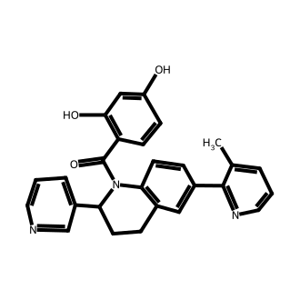 Cc1cccnc1-c1ccc2c(c1)CCC(c1cccnc1)N2C(=O)c1ccc(O)cc1O